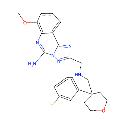 COc1cccc2c1nc(N)n1nc(CNCC3(c4cccc(F)c4)CCOCC3)nc21